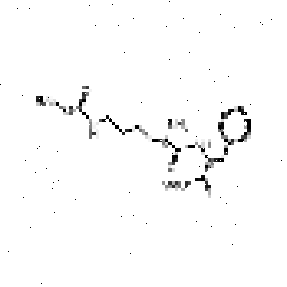 COC(=O)[C@H](Cc1ccccc1)NC(=O)[C@@H](N)CCCCNC(=O)OC(C)(C)C